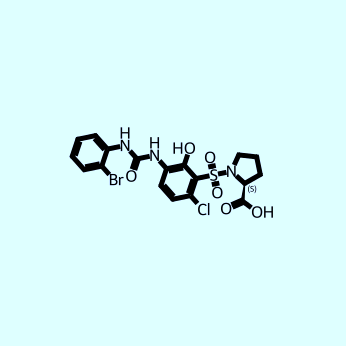 O=C(Nc1ccccc1Br)Nc1ccc(Cl)c(S(=O)(=O)N2CCC[C@H]2C(=O)O)c1O